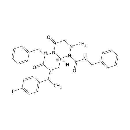 CC(c1ccc(F)cc1)N1C[C@H]2N(C(=O)CN(C)N2C(=O)NCc2ccccc2)[C@@H](Cc2ccccc2)C1=O